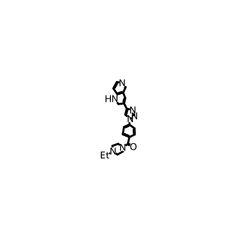 CCN1CCN(C(=O)c2ccc(-n3cc(C4=Cc5cnccc5NC4)nn3)cc2)CC1